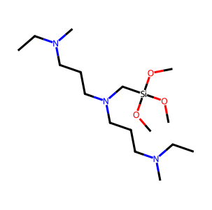 CCN(C)CCCN(CCCN(C)CC)C[Si](OC)(OC)OC